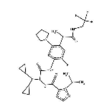 CC(C(=O)NCC(F)(F)F)c1cc(F)c(NC(=O)C(NC(=O)c2ccnn2C(C)C)C(C2CC2)C2CC2)cc1N1CCCC1